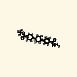 CC(C)(C)OC(=O)N1CCC(C2CCN(c3ccc(C(N)=O)cn3)CC2)CC1